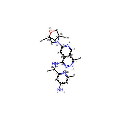 Cc1cc(N)cc([C@@H](C)Nc2nnc(C)c3cnc(N4C[C@H]5C[C@@H]4CO5)cc23)n1